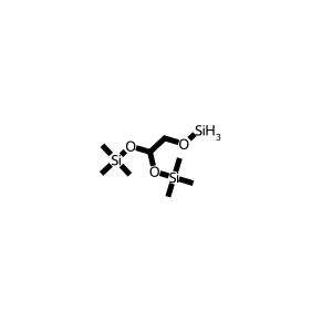 C[Si](C)(C)OC(CO[SiH3])O[Si](C)(C)C